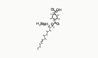 CCCCCCCCCCCCOC(=O)c1ccc(C(=O)O)cc1.N.N